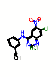 C#Cc1cccc(Nc2ncnc3cc(Cl)c([N+](=O)[O-])cc23)c1.Cl